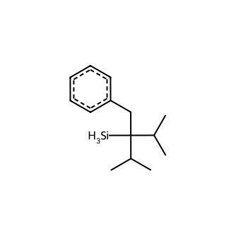 CC(C)C([SiH3])(Cc1ccccc1)C(C)C